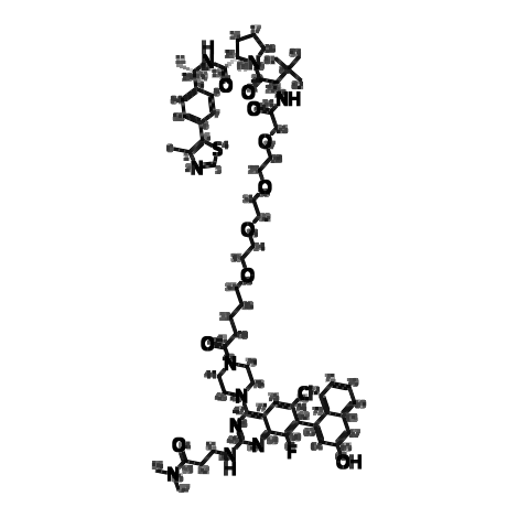 Cc1ncsc1-c1ccc([C@H](C)NC(=O)[C@@H]2CCCN2C(=O)[C@@H](NC(=O)COCCOCCOCCOCCCCC(=O)N2CCN(c3nc(NCCC(=O)N(C)C)nc4c(F)c(-c5cc(O)cc6ccccc56)c(Cl)cc34)CC2)C(C)(C)C)cc1